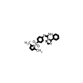 Cc1ccc(C)n1S(=O)(=O)c1ccc(N=C(N)N2N=[C]SC2c2ccccc2)cc1